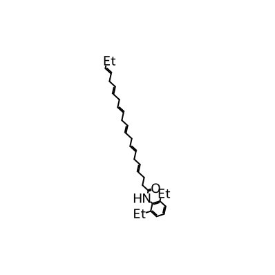 CCC=CCC=CCC=CCC=CCC=CCC=CCCC(=O)Nc1c(CC)cccc1CC